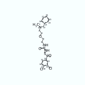 CN(CCOCCNC(=O)NSC(=O)c1ccc(Cl)c(Cl)c1)Cc1ccccc1